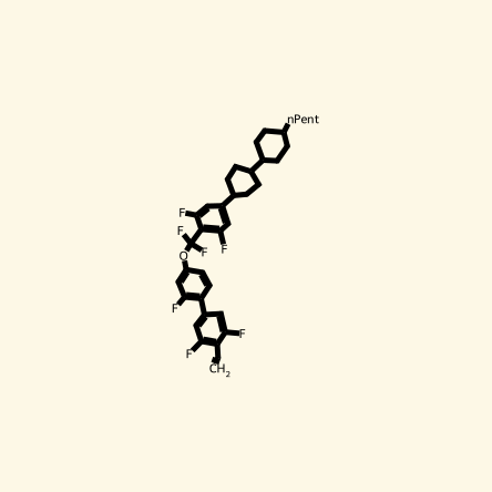 C=Cc1c(F)cc(-c2ccc(OC(F)(F)c3c(F)cc(C4CCC(C5CCC(CCCCC)CC5)CC4)cc3F)cc2F)cc1F